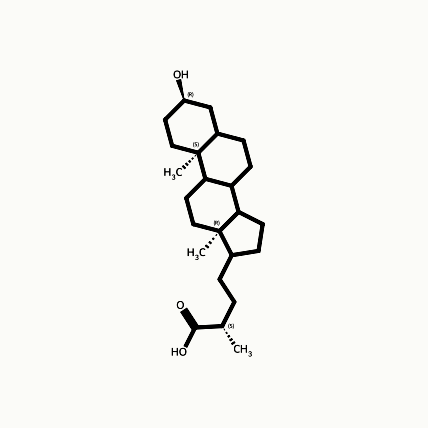 C[C@@H](CCC1CCC2C3CCC4C[C@H](O)CC[C@]4(C)C3CC[C@]12C)C(=O)O